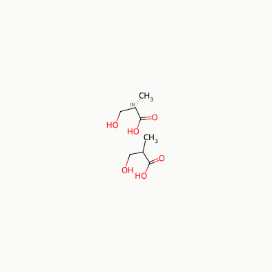 CC(CO)C(=O)O.C[C@@H](CO)C(=O)O